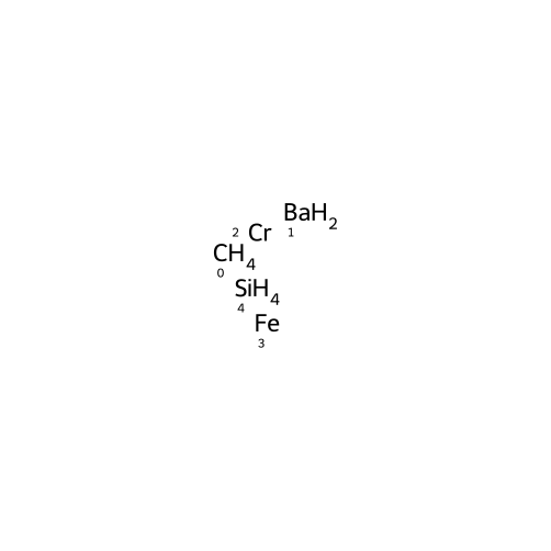 C.[BaH2].[Cr].[Fe].[SiH4]